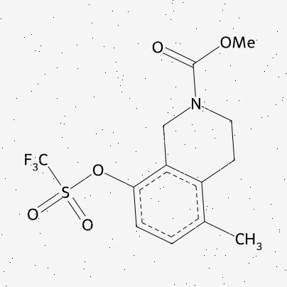 COC(=O)N1CCc2c(C)ccc(OS(=O)(=O)C(F)(F)F)c2C1